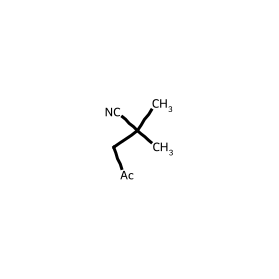 CC(=O)CC(C)(C)C#N